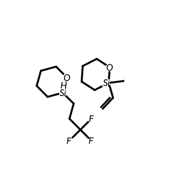 C=C[Si]1(C)CCCCO1.FC(F)(F)CC[SiH]1CCCCO1